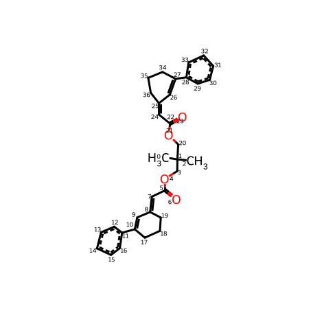 CC(C)(COC(=O)C=C1C=C(c2ccccc2)CCC1)COC(=O)C=C1C=C(c2ccccc2)CCC1